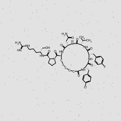 CC(C)[C@@H]1NC(=O)[C@H](Cc2ccc(F)cc2)NC(=O)[C@H](Cc2ccc(Cl)cc2)NC(=O)CCCSC[C@@H](C(=O)N2CCC[C@H]2C(=O)N[C@@H](CO)CCCNC(=N)N)NC(=O)[C@H](CC(N)=O)NC1=O